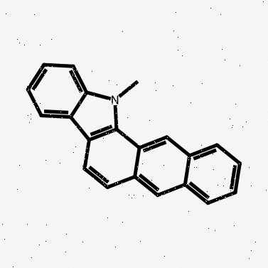 Cn1c2ccccc2c2ccc3cc4ccccc4cc3c21